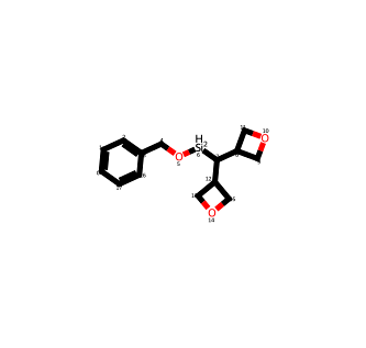 c1ccc(CO[SiH2]C(C2COC2)C2COC2)cc1